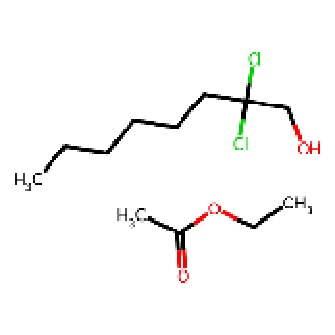 CCCCCCC(Cl)(Cl)CO.CCOC(C)=O